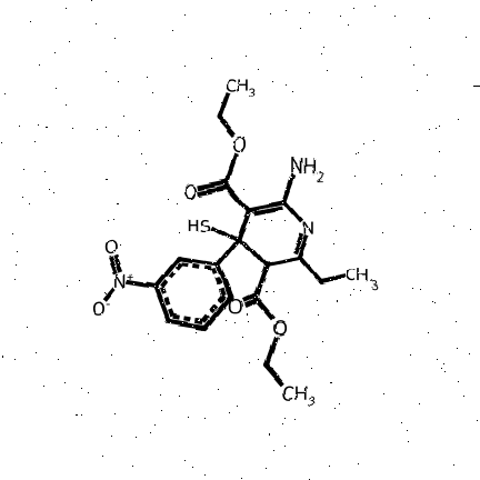 CCOC(=O)C1=C(N)N=C(CC)C(C(=O)OCC)C1(S)c1cccc([N+](=O)[O-])c1